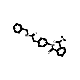 CN(C)C(=O)c1ccccc1C(=O)Nc1ccc(CC(=O)NCc2ccccc2)cc1